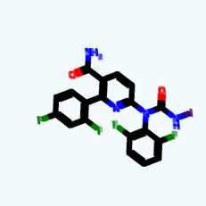 NC(=O)c1ccc(N(C(=O)NI)c2c(F)cccc2F)nc1-c1ccc(F)cc1F